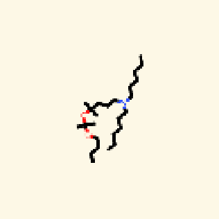 CCCCCCN(CCCCCC)CCCC(C)(C)OC(C)(C)OCCCC